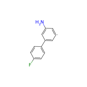 Nc1c[c]cc(-c2ccc(F)cc2)c1